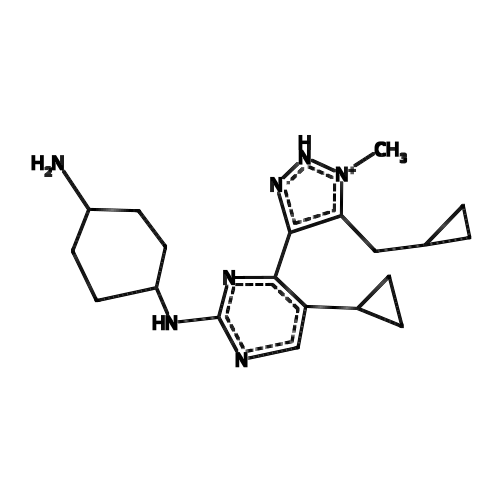 C[n+]1[nH]nc(-c2nc(NC3CCC(N)CC3)ncc2C2CC2)c1CC1CC1